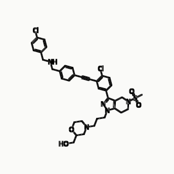 CS(=O)(=O)N1CCc2c(c(-c3ccc(Cl)c(C#Cc4ccc(CNCc5ccc(Cl)cc5)cc4)c3)nn2CCCN2CCOC(CO)C2)C1